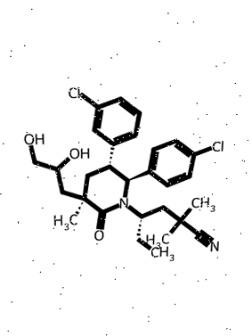 CC[C@@H](CC(C)(C)C#N)N1C(=O)[C@@](C)(CC(O)CO)C[C@H](c2cccc(Cl)c2)[C@H]1c1ccc(Cl)cc1